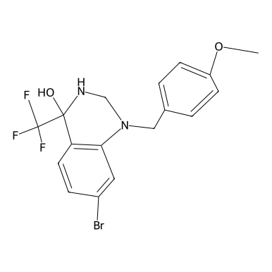 COc1ccc(CN2CNC(O)(C(F)(F)F)c3ccc(Br)cc32)cc1